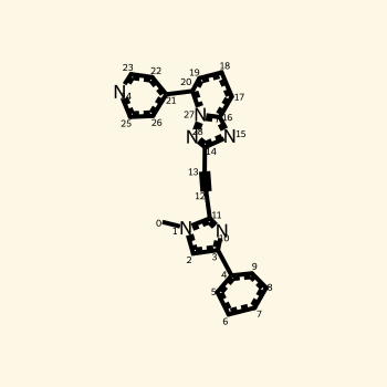 Cn1cc(-c2ccccc2)nc1C#Cc1nc2cccc(-c3ccncc3)n2n1